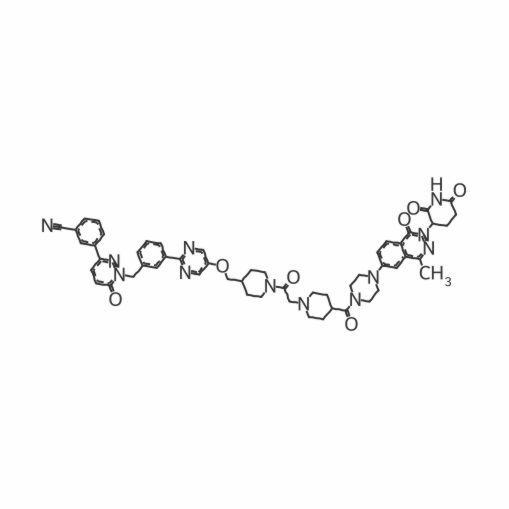 Cc1nn(C2CCC(=O)NC2=O)c(=O)c2ccc(N3CCN(C(=O)C4CCN(CC(=O)N5CCC(COc6cnc(-c7cccc(Cn8nc(-c9cccc(C#N)c9)ccc8=O)c7)nc6)CC5)CC4)CC3)cc12